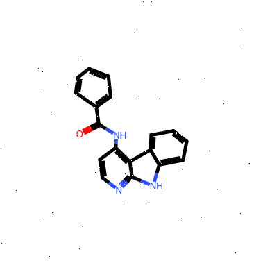 O=C(Nc1ccnc2[nH]c3ccccc3c12)c1ccccc1